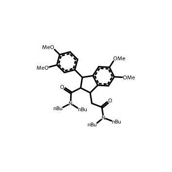 CCCCN(CCCC)C(=O)CC1c2cc(OC)c(OC)cc2C(c2ccc(OC)c(OC)c2)C1C(=O)N(CCCC)CCCC